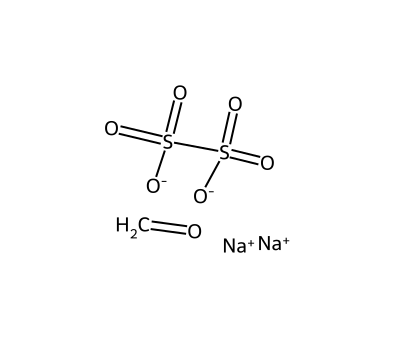 C=O.O=S(=O)([O-])S(=O)(=O)[O-].[Na+].[Na+]